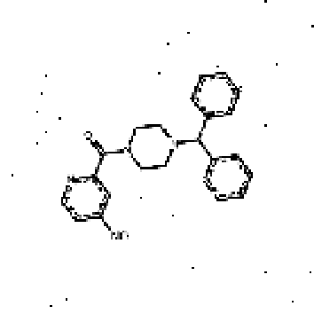 O=Nc1ccnc(C(=O)N2CCN(C(c3ccccc3)c3ccccc3)CC2)c1